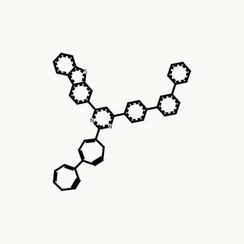 C1#CC(C2=CC=C(c3nc(-c4ccc(-c5cccc(-c6ccccc6)c5)cc4)cc(-c4ccc5c(c4)sc4ccccc45)n3)CC#C2)=CC=CC1